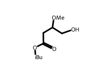 CCC(C)OC(=O)CC(CO)OC